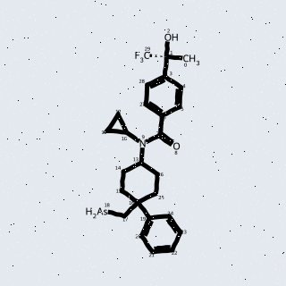 C[C@](O)(c1ccc(C(=O)N(C2CC2)C2CCC(C[AsH2])(c3ccccc3)CC2)cc1)C(F)(F)F